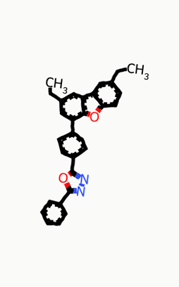 CCc1ccc2oc3c(-c4ccc(-c5nnc(-c6ccccc6)o5)cc4)cc(CC)cc3c2c1